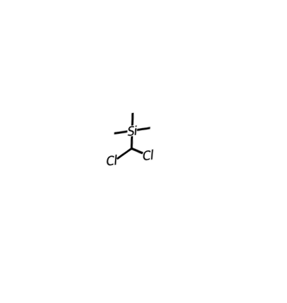 C[Si](C)(C)C(Cl)Cl